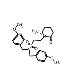 COc1ccc(CN(Cc2ccc(OC)cc2)S(=O)(=O)CCN2C(=O)CCC[C@H]2C)cc1